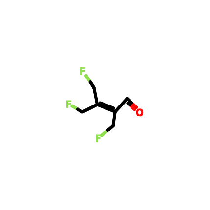 O=CC(CF)=C(CF)CF